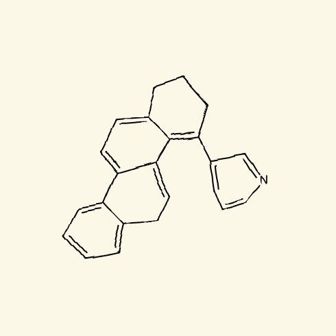 C1=c2c(ccc3c2=C(c2cccnc2)CCC3)-c2ccccc2C1